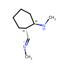 C/N=C/[C@@H]1CCCC[C@H]1NC